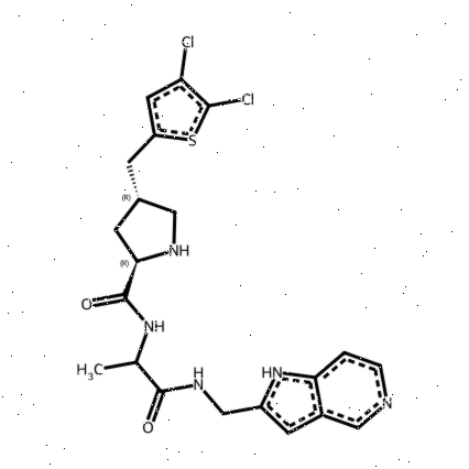 CC(NC(=O)[C@H]1C[C@H](Cc2cc(Cl)c(Cl)s2)CN1)C(=O)NCc1cc2cnccc2[nH]1